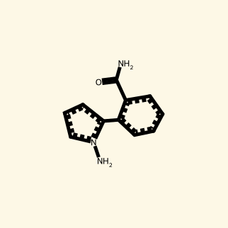 NC(=O)c1ccccc1-c1cccn1N